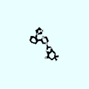 CC1(C)CC(=O)c2sc(N3C=COC(C4=C(n5ccnc5)C=CCC4)=C3)nc2C1